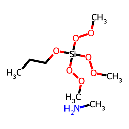 CCCO[Si](OOC)(OOC)OOC.CN